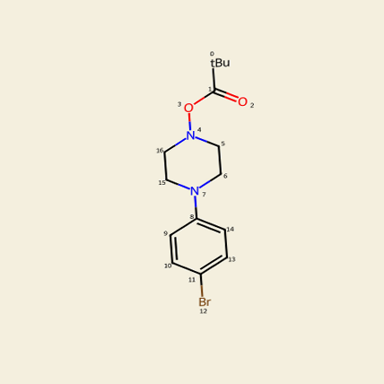 CC(C)(C)C(=O)ON1CCN(c2ccc(Br)cc2)CC1